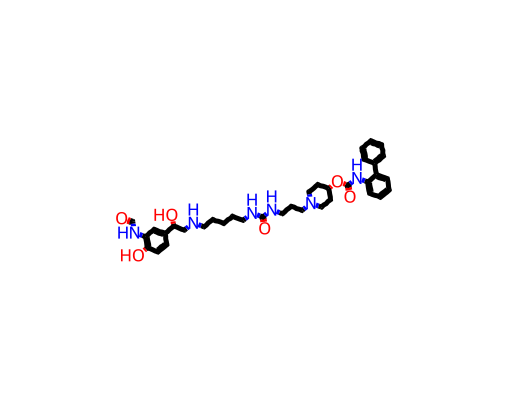 O=CNc1cc(C(O)CNCCCCCNC(=O)NCCCN2CCC(OC(=O)Nc3ccccc3-c3ccccc3)CC2)ccc1O